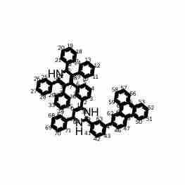 C1=C(c2cccc(C3=C(c4ccccc4)C(c4ccccc4)NC(c4ccccc4)=C3c3ccccc3)c2)NC(c2cccc(-c3ccc4c5ccccc5c5ccccc5c4c3)c2)NC1c1ccccc1